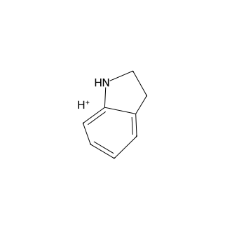 [H+].c1ccc2c(c1)CCN2